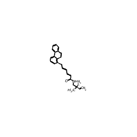 C=CC(C)(C)CNC(=O)/C=C/C=C/Cc1cccc2c1CCc1ccccc1-2